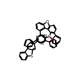 c1ccc(-c2ccc(-n3c4ccccc4c4ccc5oc6cccc(-c7nc(-c8ccccc8)nc(-c8ccc9c(c8)sc8ccccc89)n7)c6c5c43)cc2)cc1